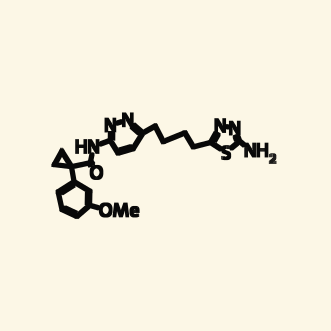 COc1cccc(C2(C(=O)Nc3ccc(CCCCc4nnc(N)s4)nn3)CC2)c1